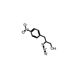 [N-]=[N+]=NC(CO)Cc1ccc([N+](=O)[O-])cc1